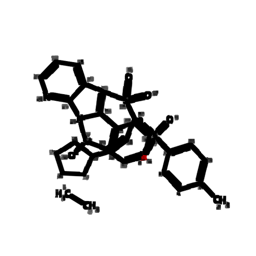 CC.Cc1ccc(S(=O)(=O)OC(=CC2CCCC2)c2c3c4cccnc4n2[S+]([O-])c2cccc(c2)S3(=O)=O)cc1